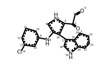 O=CC(=O)c1[nH]cc(Nc2cccc(Cl)c2)c1-c1c[nH]c2ccccc12